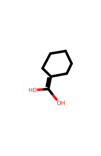 OC(O)=C1CCCCC1